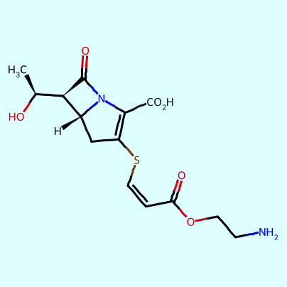 C[C@H](O)[C@H]1C(=O)N2C(C(=O)O)=C(S/C=C\C(=O)OCCN)C[C@H]12